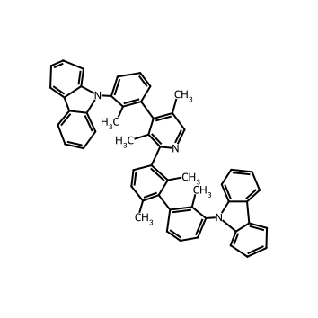 Cc1ccc(-c2ncc(C)c(-c3cccc(-n4c5ccccc5c5ccccc54)c3C)c2C)c(C)c1-c1cccc(-n2c3ccccc3c3ccccc32)c1C